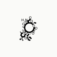 CC[C@@H]1OC(=O)[C@@](C)(F)C(=O)[C@H](C)[C@@H](OC2O[C@H](C)C[C@H](N(C)C)[C@H]2O[Si](CC)(CC)CC)[C@](C)(OC)C[C@@H](C)C(=O)[C@H](C)[C@H]2[C@H](N)C(=O)O[C@]21C